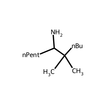 CCCCCC(N)C(C)(C)CCCC